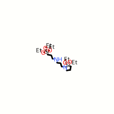 CCO[Si](CCCNCCCN1CCC[Si]1(OCC)OCC)(OCC)OCC